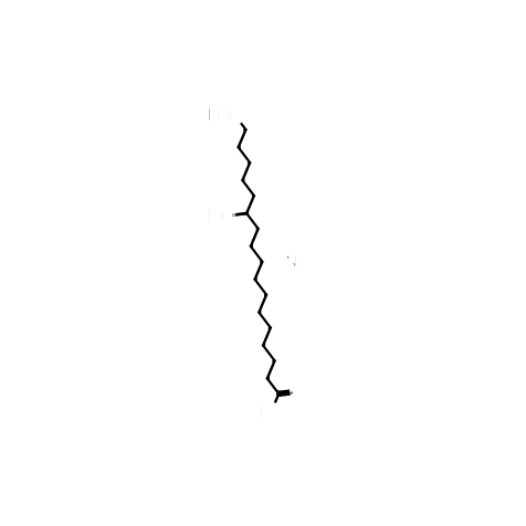 CCCCCCC(O)CCCCCCCCCCC(=O)O.N